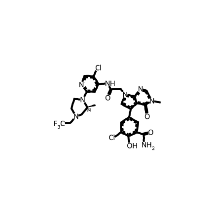 C[C@H]1CN(CC(F)(F)F)CCN1c1cc(NC(=O)Cn2cc(-c3cc(Cl)c(O)c(C(N)=O)c3)c3c(=O)n(C)cnc32)c(Cl)cn1